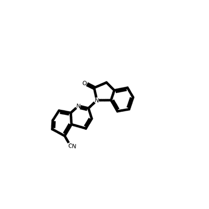 N#Cc1cccc2nc(N3C(=O)Cc4ccccc43)ccc12